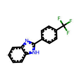 FC(F)(F)c1ccc(-c2nc3c[c]ccc3[nH]2)cc1